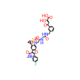 CNC(=O)c1c(-c2ccc(F)cc2)oc2cc(N(CC(=O)NCC(=O)NCc3cccc(C(=O)C=C(O)C(=O)O)c3)S(C)(=O)=O)c(C3CC3)cc12